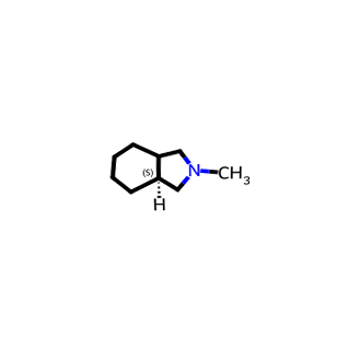 CN1CC2CCCC[C@@H]2C1